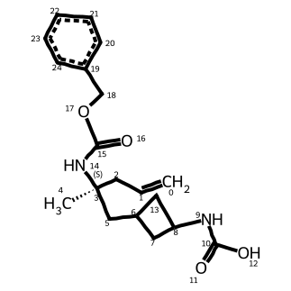 C=CC[C@@](C)(CC1CC(NC(=O)O)C1)NC(=O)OCc1ccccc1